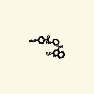 COc1ccc(C(=O)NC2=C[C@@H](Nc3cc(C(F)(F)F)nc4ccccc34)CCC2)cc1